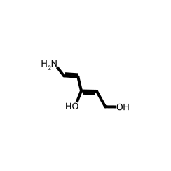 NC=CC(O)=CCO